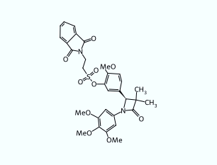 COc1ccc([C@@H]2N(c3cc(OC)c(OC)c(OC)c3)C(=O)C2(C)C)cc1OS(=O)(=O)CCN1C(=O)c2ccccc2C1=O